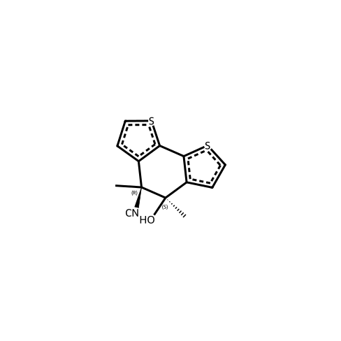 C[C@]1(C#N)c2ccsc2-c2sccc2[C@@]1(C)O